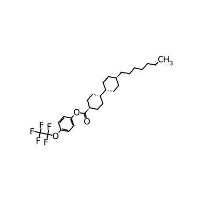 CCCCCCC[C@H]1CC[C@H]([C@H]2CC[C@H](C(=O)Oc3ccc(OC(F)(F)C(F)(F)F)cc3)CC2)CC1